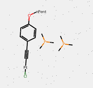 CCCCCOc1ccc(C#[C][Pt][Cl])cc1.CP(C)C.CP(C)C